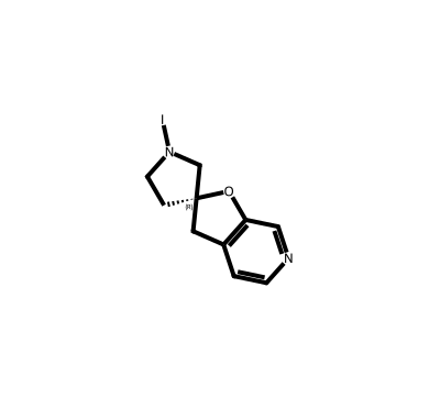 IN1CC[C@]2(Cc3ccncc3O2)C1